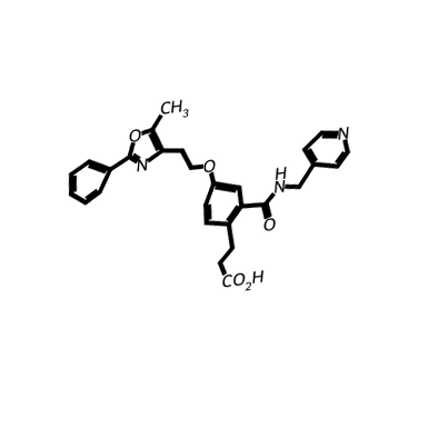 Cc1oc(-c2ccccc2)nc1CCOc1ccc(CCC(=O)O)c(C(=O)NCc2ccncc2)c1